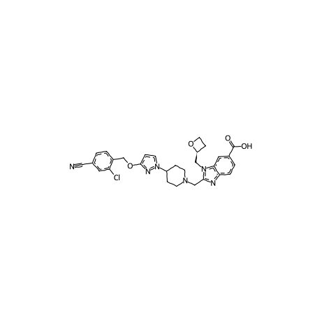 N#Cc1ccc(COc2ccn(C3CCN(Cc4nc5ccc(C(=O)O)cc5n4C[C@@H]4CCO4)CC3)n2)c(Cl)c1